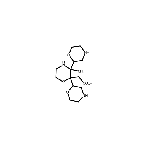 CC1(C2CNCCO2)NCCSC1(CC(=O)O)C1CNCCO1